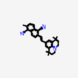 Cc1ccc2c(C#N)c(C=Cc3cc4c5c(c3)C(C)(C)CCN5CCC4(C)C)ccc2c1C#N